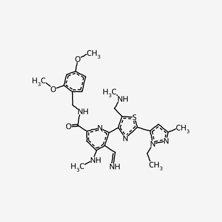 CCn1nc(C)cc1-c1nc(-c2nc(C(=O)NCc3ccc(OC)cc3OC)cc(NC)c2C=N)c(CNC)s1